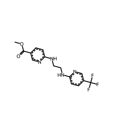 COC(=O)c1ccc(NCCNc2ccc(C(F)(F)F)cn2)nc1